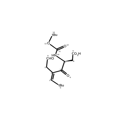 CC(C)(C)C=C(CC=O)C(=O)[C@H](CC(=O)O)NC(=O)OC(C)(C)C